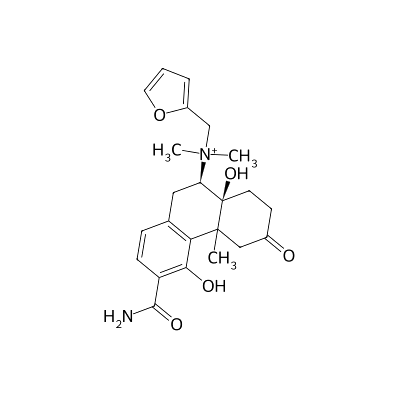 CC12CC(=O)CC[C@@]1(O)[C@H]([N+](C)(C)Cc1ccco1)Cc1ccc(C(N)=O)c(O)c12